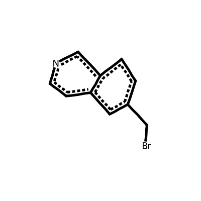 BrCc1ccc2cnccc2c1